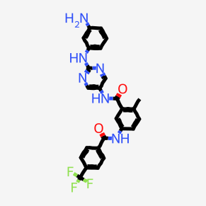 Cc1ccc(NC(=O)c2ccc(C(F)(F)F)cc2)cc1C(=O)Nc1cnc(Nc2cccc(N)c2)nc1